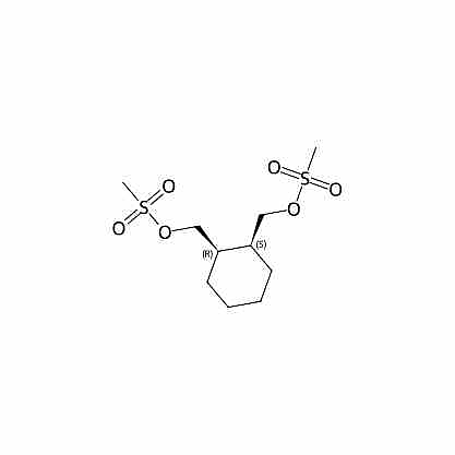 CS(=O)(=O)OC[C@H]1CCCC[C@H]1COS(C)(=O)=O